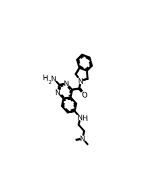 CN(C)CCNc1ccc2nc(N)nc(C(=O)N3Cc4ccccc4C3)c2c1